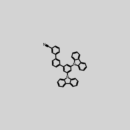 N#Cc1cccc(-c2cccc(-c3cc(-n4c5ccccc5c5ccccc54)cc(-n4c5ccccc5c5ccccc54)c3)c2)c1